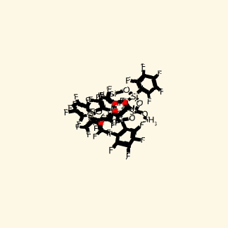 FC(F)=C(F)[Si](O[SiH3])(O[Si](C(F)=C(F)F)(C(F)=C(F)F)C(F)=C(F)F)O[Si](O[Si](O[SiH3])(O[Si](O[SiH3])(O[SiH3])c1c(F)c(F)c(F)c(F)c1F)C(F)=C(F)F)(O[Si](C(F)=C(F)F)(C(F)=C(F)F)C(F)=C(F)F)c1c(F)c(F)c(F)c(F)c1F